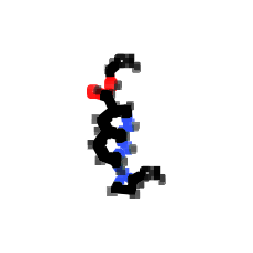 CCOC(=O)c1cnc2nc(N3CCC3C)ccc2c1